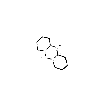 [N-]=[N+]1C2CCCCN2NN2CCCCC21